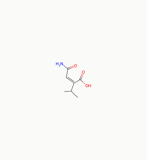 CC(C)/C(=C/C(N)=O)C(=O)O